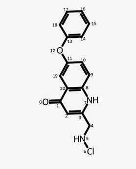 O=c1cc(CNCl)[nH]c2ccc(Oc3ccccc3)cc12